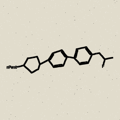 CCCCCC1CCC(c2ccc(-c3ccc(CC(C)F)cc3)cc2)CC1